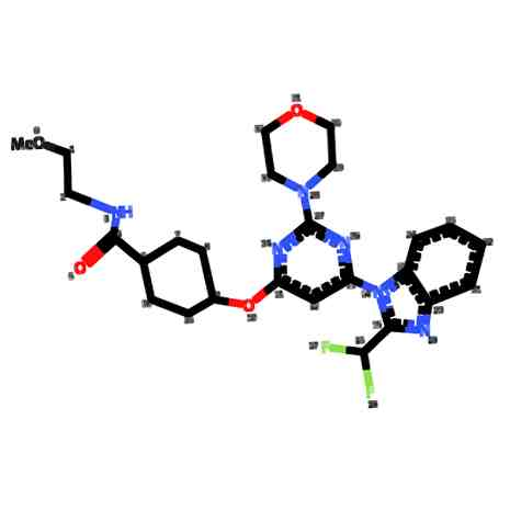 COCCNC(=O)C1CCC(Oc2cc(-n3c(C(F)F)nc4ccccc43)nc(N3CCOCC3)n2)CC1